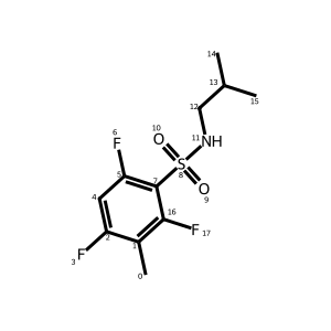 Cc1c(F)cc(F)c(S(=O)(=O)NCC(C)C)c1F